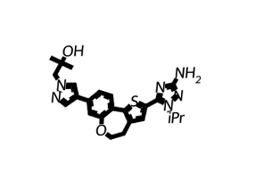 CC(C)n1nc(N)nc1-c1cc2c(s1)-c1ccc(-c3cnn(CC(C)(C)O)c3)cc1OCC2